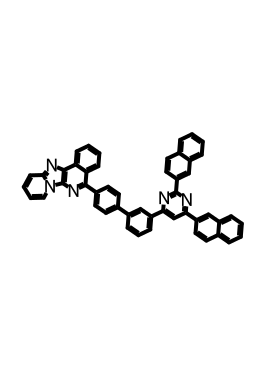 c1cc(-c2ccc(-c3nc4c(nc5ccccn54)c4ccccc34)cc2)cc(-c2cc(-c3ccc4ccccc4c3)nc(-c3ccc4ccccc4c3)n2)c1